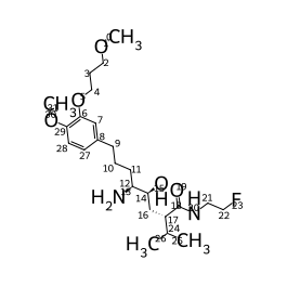 COCCCOc1cc(CCC[C@H](N)[C@@H](O)C[C@H](C(=O)NCCF)C(C)C)ccc1OC